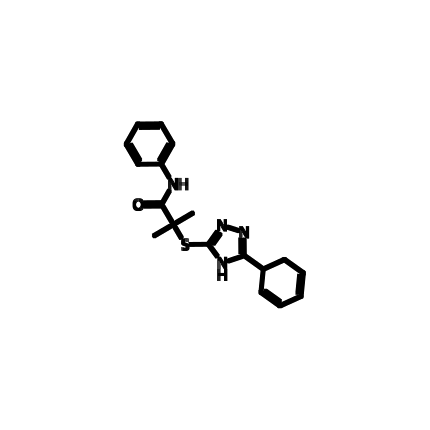 CC(C)(Sc1nnc(C2C=CC=CC2)[nH]1)C(=O)Nc1ccccc1